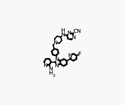 N#Cc1nccc(NC2CCN(Cc3ccc(-n4c(-c5cccnc5N)nc5ccc(-c6ccc(F)cn6)cc54)cc3)CC2)n1